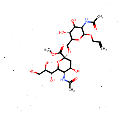 C=CCO[C@H]1OC(CO[C@]2(C(=O)OC)C[C@@H](O)[C@@H](NC(C)=O)C([C@H](O)[C@H](O)CO)O2)[C@H](O)C(O)C1NC(C)=O